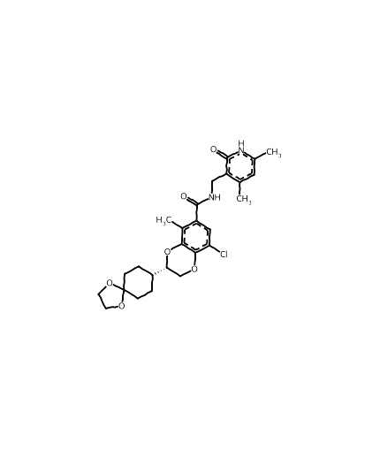 Cc1cc(C)c(CNC(=O)c2cc(Cl)c3c(c2C)O[C@@H](C2CCC4(CC2)OCCO4)CO3)c(=O)[nH]1